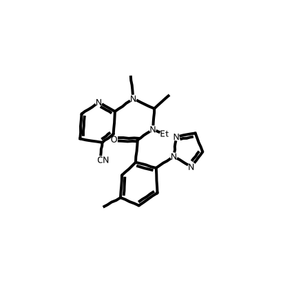 CCN(C(=O)c1cc(C)ccc1-n1nccn1)C(C)N(C)c1cc(C#N)ccn1